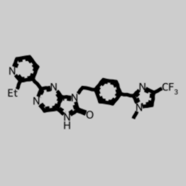 CCc1ncccc1-c1ncc2[nH]c(=O)n(Cc3ccc(-c4nc(C(F)(F)F)cn4C)cc3)c2n1